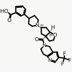 O=C(O)c1cccc(C2CCN([C@@H]3C[C@H]4OCC[C@@]4(C(=O)N4CCc5ncc(C(F)(F)F)cc5C4)C3)CC2)c1